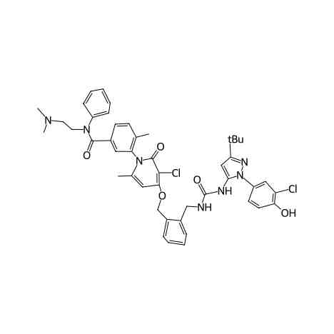 Cc1ccc(C(=O)N(CCN(C)C)c2ccccc2)cc1-n1c(C)cc(OCc2ccccc2CNC(=O)Nc2cc(C(C)(C)C)nn2-c2ccc(O)c(Cl)c2)c(Cl)c1=O